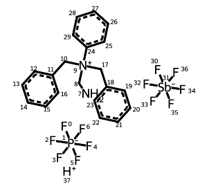 F[P-](F)(F)(F)(F)F.NC[N+](Cc1ccccc1)(Cc1ccccc1)c1ccccc1.[F][Sb-]([F])([F])([F])([F])[F].[H+]